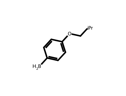 Bc1ccc(OCC(C)C)cc1